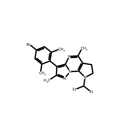 CCC(CC)N1CCc2c(C)nc3c(-c4c(C)cc(Br)cc4C)c(C)nn3c21